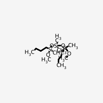 CCCC[Si](C)(OC)O[Si](C)(C)O[Si](C)(CCCC)OC